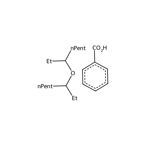 CCCCCC(CC)OC(CC)CCCCC.O=C(O)c1ccccc1